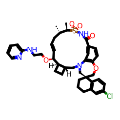 C[C@@H]1[C@@H](C)C/C=C/[C@H](OCCNc2ccccn2)[C@@H]2CC[C@H]2CN2C[C@@]3(CCCc4cc(Cl)ccc43)COc3ccc(cc32)C(=O)NS1(=O)=O